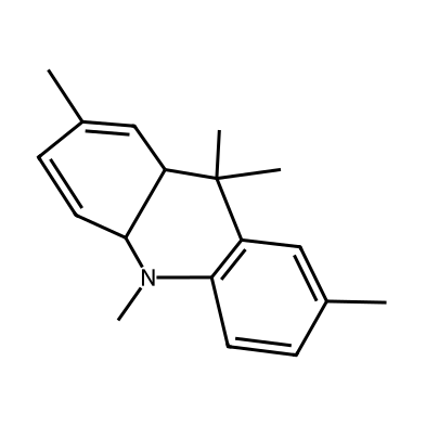 CC1=CC2C(C=C1)N(C)c1ccc(C)cc1C2(C)C